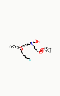 CCCCCCCCC(CCCCCCCCF)OC(=O)CCCCCCCN(CCO)CCCCCC(=O)OC(CCCCCCCC)CCCCCCCC